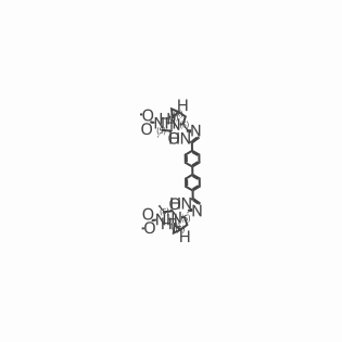 COC(=O)N[C@@H](C)C(=O)N1[C@@H]2C[C@@H]2C[C@H]1c1ncc(-c2ccc(-c3ccc(-c4cnc([C@@H]5C[C@H]6C[C@H]6N5C(=O)[C@H](C)NC(=O)OC)[nH]4)cc3)cc2)[nH]1